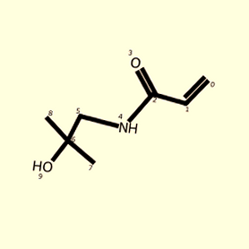 C=CC(=O)NCC(C)(C)O